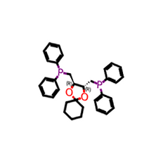 c1ccc(P(C[C@@H]2OC3(CCCCC3)O[C@H]2CP(c2ccccc2)c2ccccc2)c2ccccc2)cc1